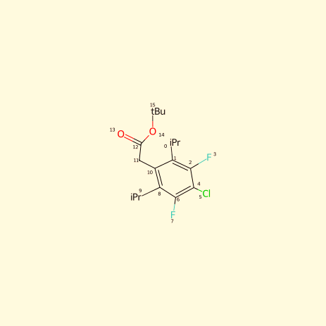 CC(C)c1c(F)c(Cl)c(F)c(C(C)C)c1CC(=O)OC(C)(C)C